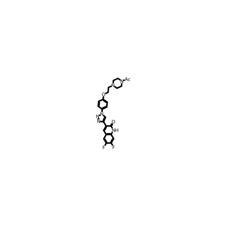 CC(=O)N1CCN(CCOc2ccc(-n3cc(-c4cc5cc(F)c(F)cc5[nH]c4=O)nn3)cc2)CC1